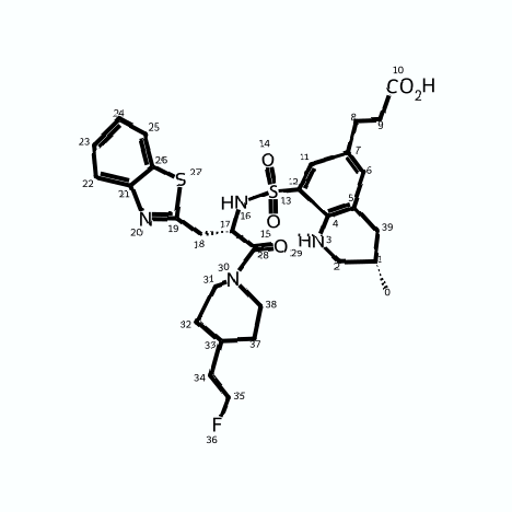 C[C@@H]1CNc2c(cc(CCC(=O)O)cc2S(=O)(=O)N[C@@H](Cc2nc3ccccc3s2)C(=O)N2CCC(CCF)CC2)C1